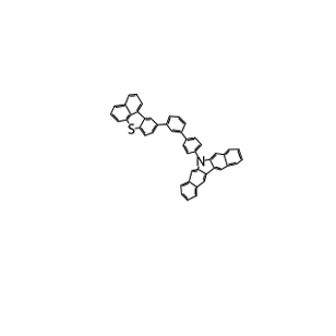 c1cc(-c2ccc(-n3c4cc5ccccc5cc4c4cc5ccccc5cc43)cc2)cc(-c2ccc3c(c2)-c2cccc4cccc(c24)S3)c1